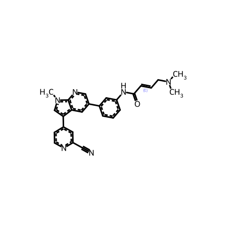 CN(C)C/C=C/C(=O)Nc1cccc(-c2cnc3c(c2)c(-c2ccnc(C#N)c2)cn3C)c1